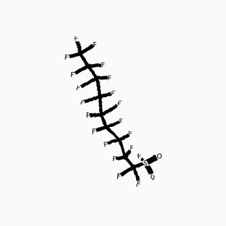 O=S(=O)(F)C(F)(F)C(F)(F)C(F)(F)C(F)(F)C(F)(F)C(F)(F)C(F)(F)C(F)(F)C(F)(F)F